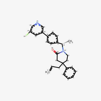 C=CCC1(c2ccccc2)CCN([C@@H](C)c2ccc(-c3cncc(F)c3)cc2)C(=O)C1